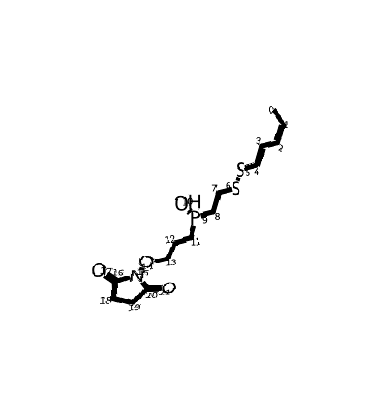 C/C=C\C=C\SSCC[PH](=O)CCCON1C(=O)CCC1=O